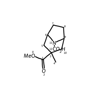 COC(=O)C1(C)CC2CCC(C1)N2C(=O)O